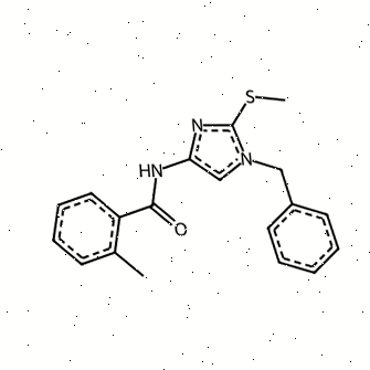 CSc1nc(NC(=O)c2ccccc2C)cn1Cc1ccccc1